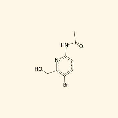 CC(=O)Nc1ccc(Br)c(CO)n1